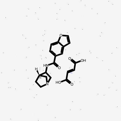 O=C(NC1CN2CC[C@H]1C2)c1ccc2occc2c1.O=C(O)/C=C/C(=O)O